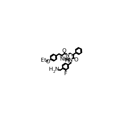 CCOc1ccc(C[C@@H](N)C(=O)NC[C@H](C(=O)NCc2ccc(CN)c(F)c2)c2ccccc2)cc1